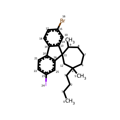 CCCCC1(C)CCCC(C)C2(C1)c1cc(Br)ccc1-c1ccc(I)cc12